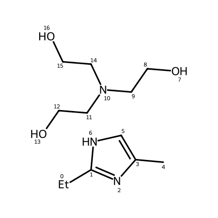 CCc1nc(C)c[nH]1.OCCN(CCO)CCO